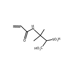 C=CC(=O)NC(C)(C)C(C(=O)O)S(=O)(=O)O